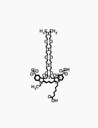 CCN1/C(=C/C=C/C2=[N+](CCCCCC(=O)O)c3ccc(S(=O)(=O)O)cc3C2(C)CCOCCOCCOCCOCCOCCOC)C(C)(CCOCCOCCOCCOCCOCCOC)c2cc(S(=O)(=O)[O-])ccc21